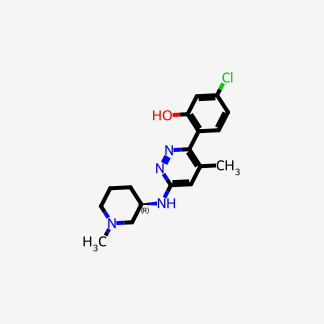 Cc1cc(N[C@@H]2CCCN(C)C2)nnc1-c1ccc(Cl)cc1O